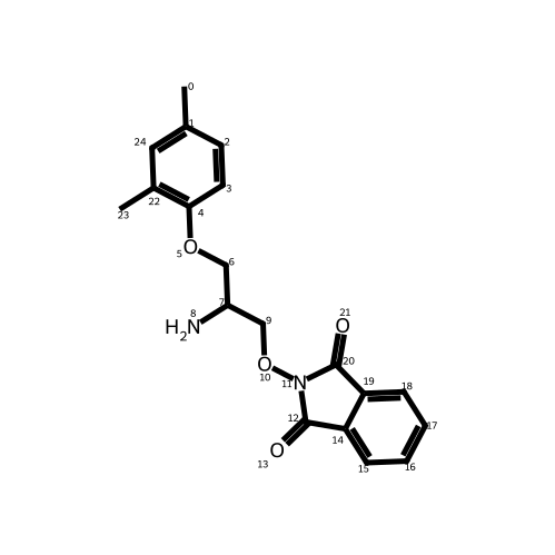 Cc1ccc(OCC(N)CON2C(=O)c3ccccc3C2=O)c(C)c1